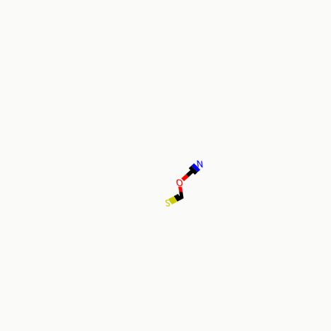 N#COC=S